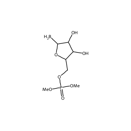 BC1OC(COP(=O)(OC)OC)C(O)C1O